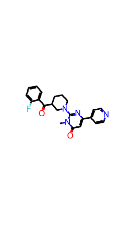 Cn1c(N2CCCC(C(=O)c3ccccc3F)C2)nc(-c2ccncc2)cc1=O